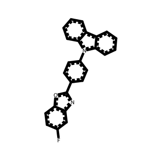 Fc1ccc2oc(-c3ccc(-n4c5ccccc5c5ccccc54)cc3)nc2c1